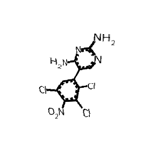 Nc1ncc(-c2cc(Cl)c([N+](=O)[O-])c(Cl)c2Cl)c(N)n1